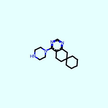 c1nc2c(c(N3CCNCC3)n1)CCC1(CCCCC1)C2